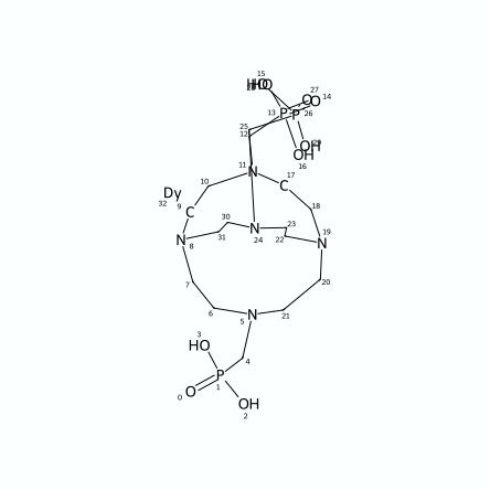 O=P(O)(O)CN1CCN2CCN(CP(=O)(O)O)CCN(CC1)CCN(CP(=O)(O)O)CC2.[Dy]